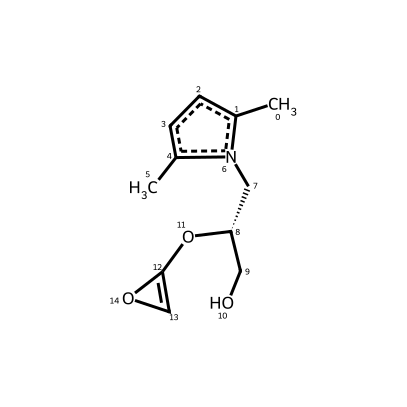 Cc1ccc(C)n1C[C@H](CO)OC1=CO1